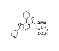 CSC(C[C@H](N)C(=O)O)C(=O)c1ccc2c(c1-c1ccccc1)OC2c1cccnc1